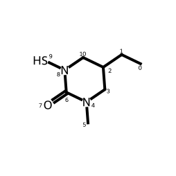 CCC1CN(C)C(=O)N(S)C1